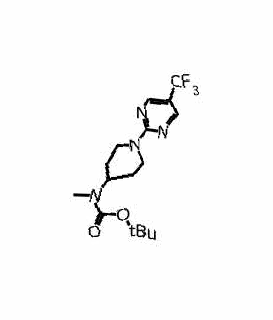 CN(C(=O)OC(C)(C)C)C1CCN(c2ncc(C(F)(F)F)cn2)CC1